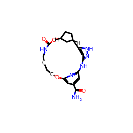 NC(=O)c1cc2nc(c1)OCCCCNC(=O)O[C@@H]1CC[C@@H](C1)c1cc(n[nH]1)N2